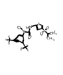 CC(C)S(=O)(=O)c1csc(NC(=O)N(Cl)c2cc(C(F)(F)F)cc(C(F)(F)F)c2)c1